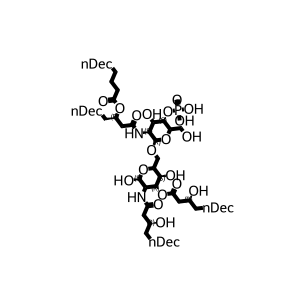 CCCCCCCCCCCCCC(=O)O[C@H](CCCCCCCCCCC)CC(=O)N[C@H]1C(O)[C@H](OP(=O)(O)O)C(CO)O[C@H]1OCC1O[C@H](O)C(NC(=O)C[C@H](O)CCCCCCCCCCC)[C@@H](OC(=O)C[C@H](O)CCCCCCCCCCC)[C@@H]1O